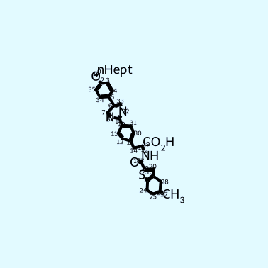 CCCCCCCOc1ccc(-c2cnc(-c3ccc(CC(NC(=O)c4cc5c(s4)CCC(C)C5)C(=O)O)cc3)nc2)cc1